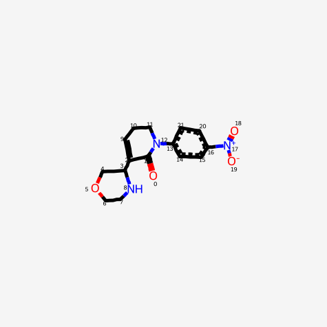 O=C1C(C2COCCN2)=CCCN1c1ccc([N+](=O)[O-])cc1